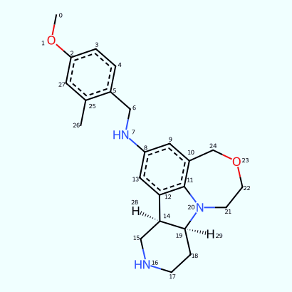 COc1ccc(CNc2cc3c4c(c2)[C@@H]2CNCC[C@@H]2N4CCOC3)c(C)c1